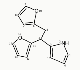 c1c[nH]c(C(Cc2ccco2)c2ccco2)c1